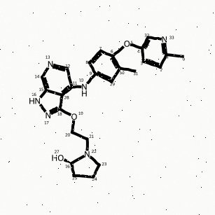 Cc1ccc(Oc2ccc(Nc3cncc4[nH]nc(OCCN5CCC[C@H]5O)c34)cc2C)cn1